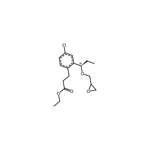 CCOC(=O)CCc1ccc(Cl)cc1[C@@H](CC)OCC1CO1